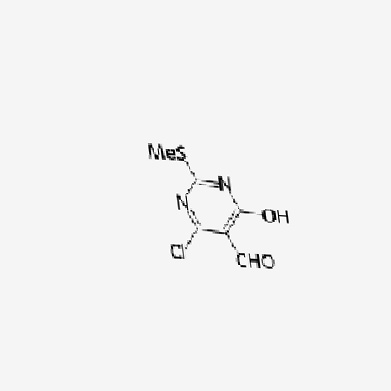 CSc1nc(O)c(C=O)c(Cl)n1